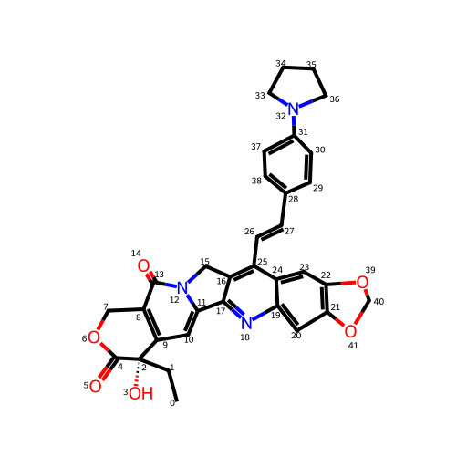 CC[C@@]1(O)C(=O)OCc2c1cc1n(c2=O)Cc2c-1nc1cc3c(cc1c2C=Cc1ccc(N2CCCC2)cc1)OCO3